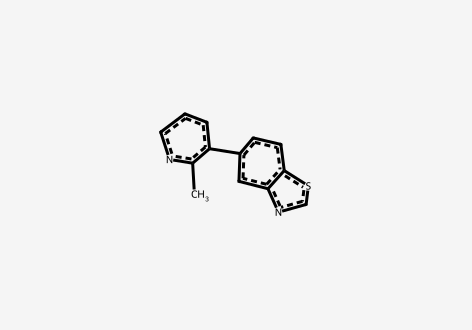 Cc1ncccc1-c1ccc2scnc2c1